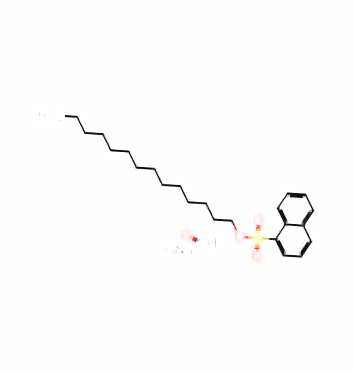 C=O.CCCCCCCCCCCCCCOS(=O)(=O)c1cccc2ccccc12.[NaH]